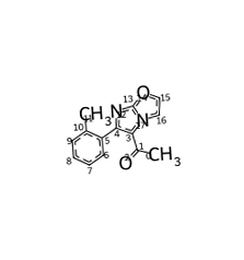 CC(=O)c1c(-c2ccccc2C)nc2occn12